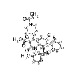 C=CC(=O)N1CCN(c2c(S(C)(=O)=O)c(=O)n(-c3c(C)ccnc3C(C)C)c3c(F)c(-c4c(O)cccc4F)c(Cl)cc23)CC1